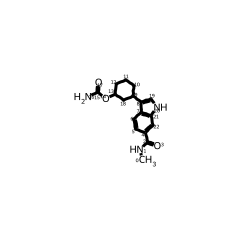 CNC(=O)c1ccc2c(C3CCCC(OC(N)=O)C3)c[nH]c2c1